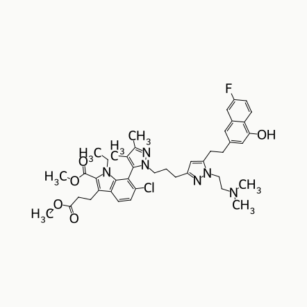 CCn1c(C(=O)OC)c(CCC(=O)OC)c2ccc(Cl)c(-c3c(C)c(C)nn3CCCc3cc(CCc4cc(O)c5ccc(F)cc5c4)n(CCN(C)C)n3)c21